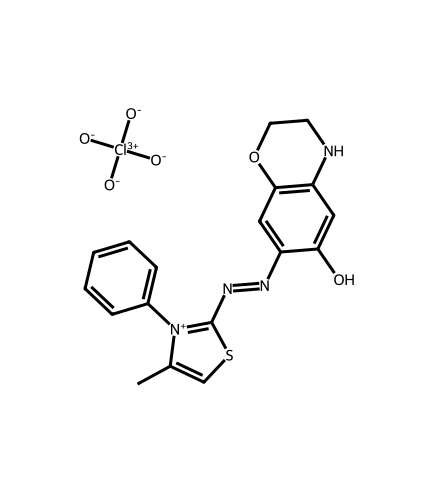 Cc1csc(N=Nc2cc3c(cc2O)NCCO3)[n+]1-c1ccccc1.[O-][Cl+3]([O-])([O-])[O-]